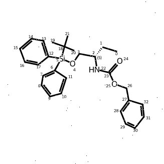 CC[C@@H](CO[Si](c1ccccc1)(c1ccccc1)C(C)(C)C)NC(=O)OCc1ccccc1